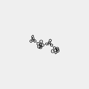 O=C1c2ccccc2S(=O)(=O)c2ccc(-c3ccc(N(c4ccccc4)c4ccc(-c5ccc6c(c5)C(=O)c5cc(-c7ccc8c(c7)c7ccccc7n8-c7ccccc7)ccc5S6(=O)=O)cc4)cc3)cc21